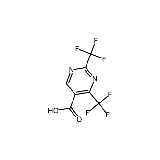 O=C(O)c1cnc(C(F)(F)F)nc1C(F)(F)F